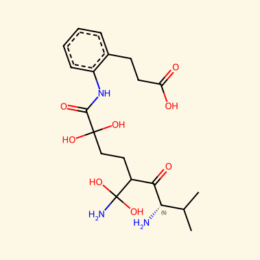 CC(C)[C@H](N)C(=O)C(CCC(O)(O)C(=O)Nc1ccccc1CCC(=O)O)C(N)(O)O